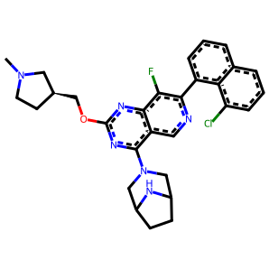 CN1CC[C@H](COc2nc(N3CC4CCC(C3)N4)c3cnc(-c4cccc5cccc(Cl)c45)c(F)c3n2)C1